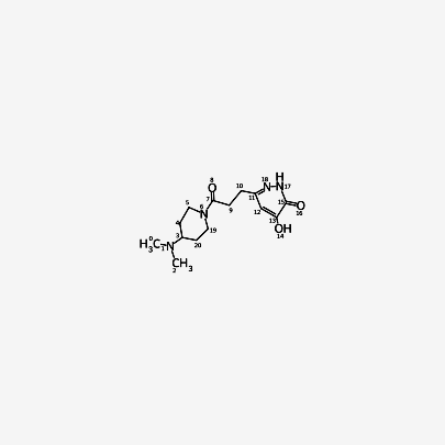 CN(C)C1CCN(C(=O)CCc2cc(O)c(=O)[nH]n2)CC1